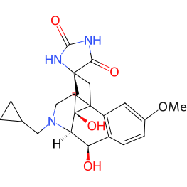 COc1ccc2c(c1)C13CCN(CC4CC4)[C@H]([C@@H]2O)[C@]1(O)CC[C@@]1(C3)NC(=O)NC1=O